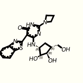 O=c1[nH]c(N2CCC2)nc(N[C@@H]2C[C@H](CO)[C@@H](O)[C@H]2O)c1-c1nc2ccccc2s1